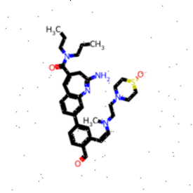 CCCN(CCC)C(=O)C1=Cc2ccc(-c3ccc(C=O)c(/C=C\N(C)CCN4CC[S+]([O-])CC4)c3)cc2N=C(N)C1